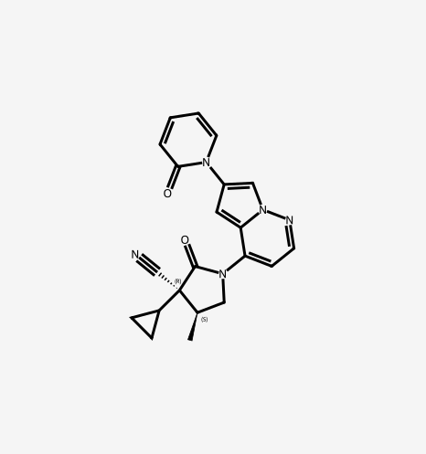 C[C@@H]1CN(c2ccnn3cc(-n4ccccc4=O)cc23)C(=O)[C@]1(C#N)C1CC1